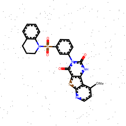 COc1ccnc2sc3c(=O)n(-c4cccc(S(=O)(=O)N5CCCc6ccccc65)c4)c(=O)[nH]c3c12